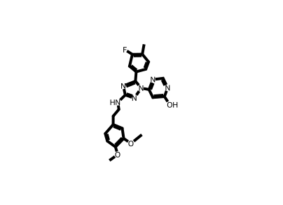 COc1ccc(CCNc2nc(-c3ccc(C)c(F)c3)n(-c3cc(O)ncn3)n2)cc1OC